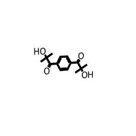 CC(C)(O)C(=O)c1ccc(C(=O)C(C)(C)O)cc1